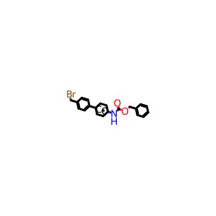 O=C(NC12CCC(c3ccc(CBr)cc3)(CC1)CC2)OCc1ccccc1